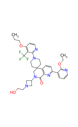 CCCOc1ccnc(N2CCC3(CC2)CN(C2CN(CCO)C2)C(=O)c2nc(-c4cccnc4OCC)ccc23)c1C(F)(F)F